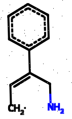 [CH2]C=C(CN)c1ccccc1